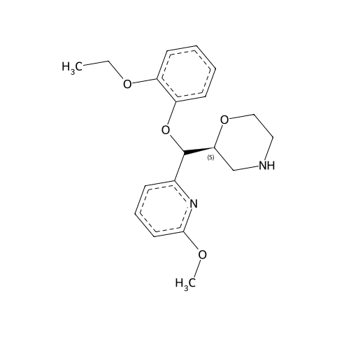 CCOc1ccccc1OC(c1cccc(OC)n1)[C@@H]1CNCCO1